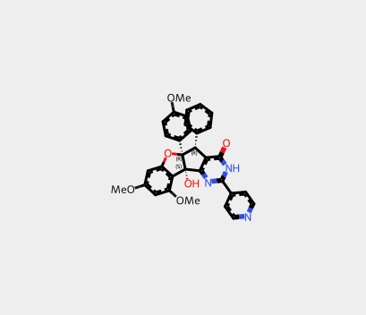 COc1ccc([C@@]23Oc4cc(OC)cc(OC)c4[C@]2(O)c2nc(-c4ccncc4)[nH]c(=O)c2[C@H]3c2ccccc2)cc1